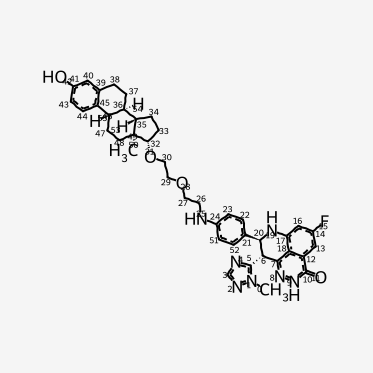 Cn1ncnc1[C@H]1c2n[nH]c(=O)c3cc(F)cc(c23)N[C@@H]1c1ccc(NCCOCCO[C@H]2CC[C@H]3[C@@H]4CCc5cc(O)ccc5[C@H]4CC[C@]23C)cc1